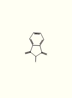 O=C1c2ccccc2C(=O)C1F